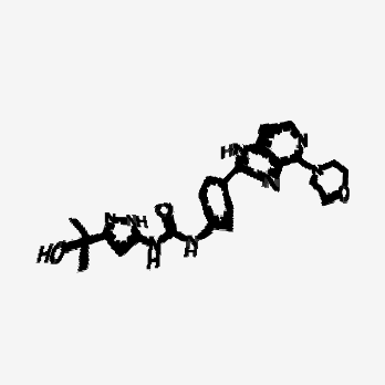 CC(C)(O)c1cc(NC(=O)Nc2ccc(-c3nc4c(N5CCOCC5)nccc4[nH]3)cc2)[nH]n1